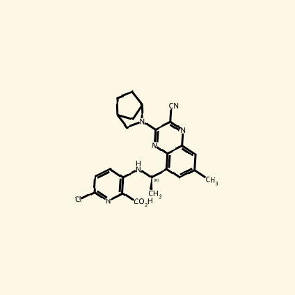 Cc1cc([C@@H](C)Nc2ccc(Cl)nc2C(=O)O)c2nc(N3CC4CCC3C4)c(C#N)nc2c1